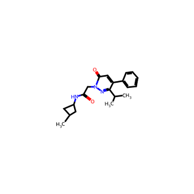 CC1CC(NC(=O)Cn2nc(C(C)C)c(-c3ccccc3)cc2=O)C1